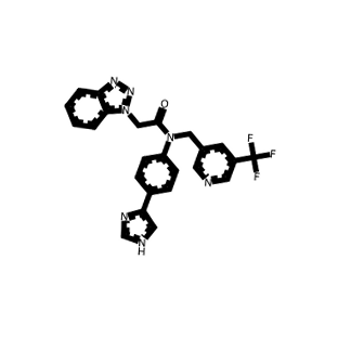 O=C(Cn1nnc2ccccc21)N(Cc1cncc(C(F)(F)F)c1)c1ccc(-c2c[nH]cn2)cc1